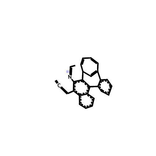 C=C=Cc1c(/N=C\C)c2c(c3ccccc13)-c1ccccc1C1=CC2C=CC=C1